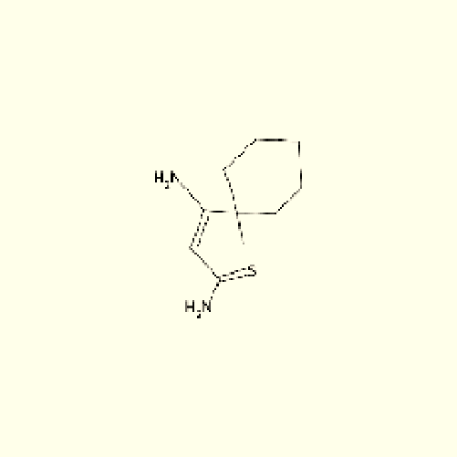 CC1(/C(N)=C\C(N)=S)CCCCC1